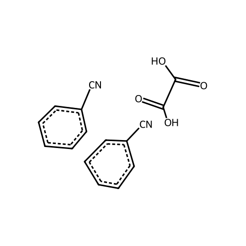 N#Cc1ccccc1.N#Cc1ccccc1.O=C(O)C(=O)O